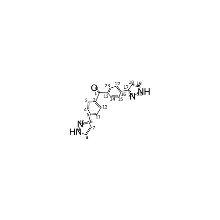 O=C(c1ccc(-c2cc[nH]n2)cc1)c1ccc(-c2cc[nH]n2)cc1